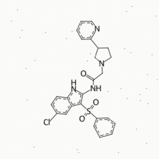 O=C(CN1CCC(c2ccccn2)C1)Nc1[nH]c2ccc(Cl)cc2c1S(=O)(=O)c1ccccc1